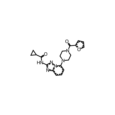 O=C(Nc1nc2cccc(N3CCN(C(=O)c4ccco4)CC3)n2n1)C1CC1